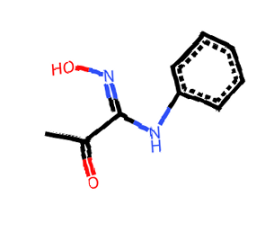 CC(=O)C(=NO)Nc1ccccc1